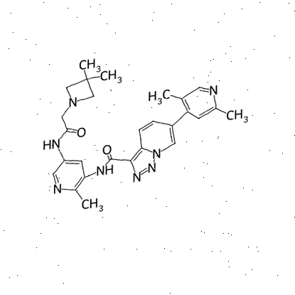 Cc1cc(-c2ccc3c(C(=O)Nc4cc(NC(=O)CN5CC(C)(C)C5)cnc4C)nnn3c2)c(C)cn1